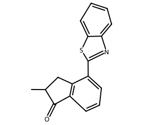 CC1Cc2c(cccc2-c2nc3ccccc3s2)C1=O